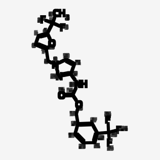 CC(F)(F)c1ccc(Cn2ccc(NC(=O)OCc3cccc(C(F)(F)F)c3)n2)o1